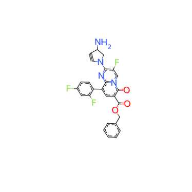 NC1C#CN(c2nc3c(-c4ccc(F)cc4F)cc(C(=O)OCc4ccccc4)c(=O)n3cc2F)C1